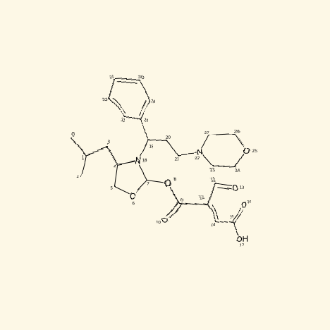 CC(C)CC1COC(OC(=O)/C(C=O)=C/C(=O)O)N1C(CCN1CCOCC1)c1ccccc1